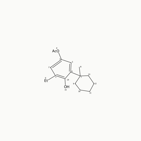 CCc1cc(OC(C)=O)cc(C2(C)CCCCC2)c1O